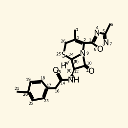 CC1=C(c2nc(C)no2)N2C(=O)[C@@H](NC(=O)Cc3ccc(C)cc3)[C@H]2SC1